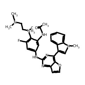 CC(=O)Nc1cc(Nc2nc(-c3cn(C)c4ccccc34)c3occc3n2)cc(F)c1N(C)CCN(C)C